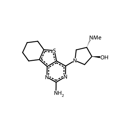 CN[C@H]1CN(c2nc(N)nc3c4c(sc23)CCCC4)C[C@@H]1O